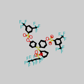 O=S(=O)(Oc1ccc(S(OS(=O)(=O)C(F)(F)C(F)(F)C(F)(F)C(F)(F)F)(c2ccccc2)c2ccc(OS(=O)(=O)c3cc(C(F)(F)F)cc(C(F)(F)F)c3)cc2)cc1)c1cc(C(F)(F)F)cc(C(F)(F)F)c1